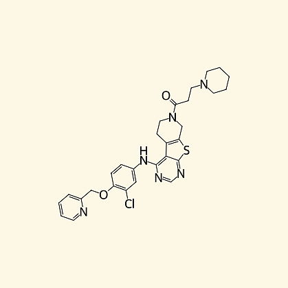 O=C(CCN1CCCCC1)N1CCc2c(sc3ncnc(Nc4ccc(OCc5ccccn5)c(Cl)c4)c23)C1